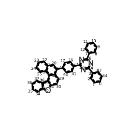 c1ccc(-c2nc(-c3ccccc3)nc(-c3ccc(-c4cc5ccccc5c5c4ccc4oc6ccccc6c45)cc3)n2)cc1